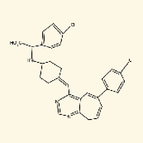 O=C(O)C(NC1CCC(=Cc2ncnc3c2C=C(c2ccc(Cl)cc2)C=CC3)CC1)c1ccc(Cl)cc1